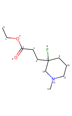 CCOC(=O)CCC1(F)CCCN(C)C1